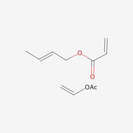 C=CC(=O)OCC=CC.C=COC(C)=O